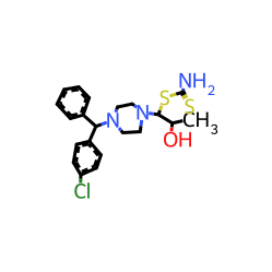 CC(O)C(SC(N)=S)N1CCN(C(c2ccccc2)c2ccc(Cl)cc2)CC1